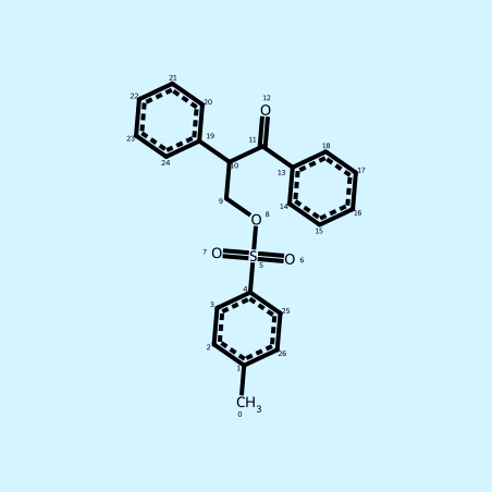 Cc1ccc(S(=O)(=O)OCC(C(=O)c2ccccc2)c2ccccc2)cc1